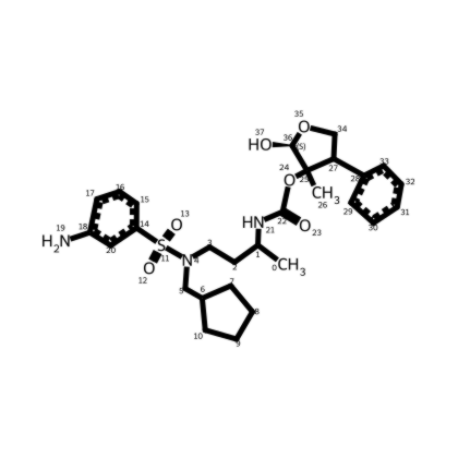 CC(CCN(CC1CCCC1)S(=O)(=O)c1cccc(N)c1)NC(=O)OC1(C)C(c2ccccc2)CO[C@@H]1O